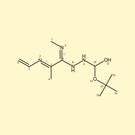 C=C/N=C(C)/C(=N\C)NNC(O)OC(C)(C)C